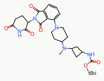 CN(C1CCN(c2cccc3c2C(=O)N(C2CCC(=O)NC2=O)C3=O)CC1)C1CC(NC(=O)OC(C)(C)C)C1